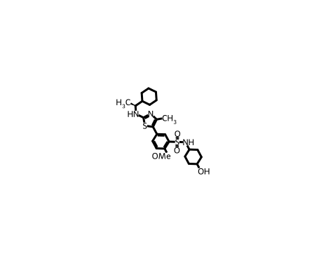 COc1ccc(-c2sc(N[C@@H](C)C3CCCCC3)nc2C)cc1S(=O)(=O)NC1CCC(O)CC1